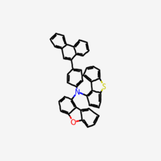 c1ccc2c(c1)cc(-c1ccc(N(c3cccc4oc5ccccc5c34)c3cccc4sc5ccccc5c34)cc1)c1ccccc12